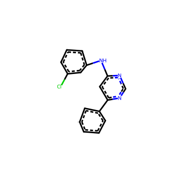 Clc1cccc(Nc2cc(-c3c[c]ccc3)ncn2)c1